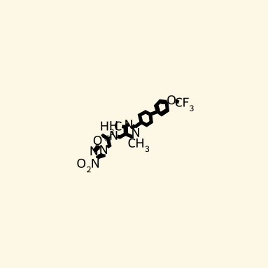 Cc1nc(C2CCC(c3ccc(OC(F)(F)F)cc3)CC2)nc(C)c1CN[C@@H]1COc2nc([N+](=O)[O-])cn2C1